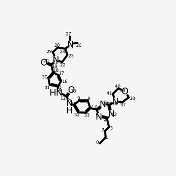 CCCCc1nc(-c2ccc(NC(=O)Nc3ccc(C(=O)N4CCC(N(C)C)CC4)cc3)cc2)nc(N2CCOCC2)n1